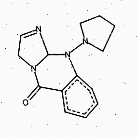 O=C1c2ccccc2N(N2CCCC2)C2N=CCN12